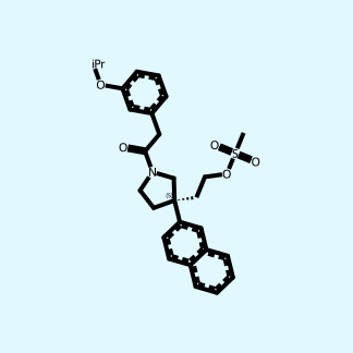 CC(C)Oc1cccc(CC(=O)N2CC[C@](CCOS(C)(=O)=O)(c3ccc4ccccc4c3)C2)c1